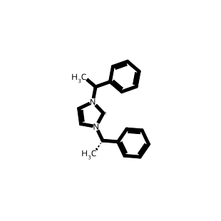 CC(c1ccccc1)N1[C]N([C@@H](C)c2ccccc2)C=C1